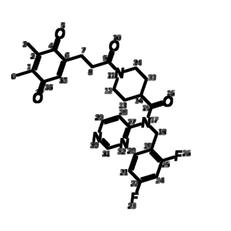 CC1=C(C)C(=O)C(CCC(=O)N2CCC(C(=O)N(Cc3ccc(F)cc3F)c3ccncn3)CC2)=CC1=O